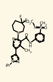 Cc1c(-c2cnn(C(C)C)c2)cnc(N2CCCC(F)(F)CC2)c1C(=O)Nc1cccc(S(C)(=O)=NC(=O)O)c1